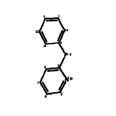 c1ccc([P]c2ccccn2)cc1